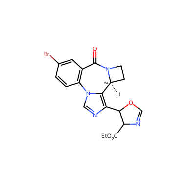 CCOC(=O)C1N=COC1c1ncn2c1[C@@H]1CCN1C(=O)c1cc(Br)ccc1-2